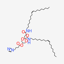 CCCCCCCC/C=C\CCCCCCCCNC(=O)CCC1(C(=O)NCCCCCCCC/C=C\CCCCCCCC)OCC(OC(=O)CCCn2ccnc2)CO1